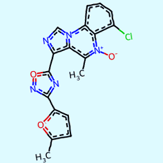 Cc1ccc(-c2noc(-c3ncn4c3c(C)[n+]([O-])c3c(Cl)cccc34)n2)o1